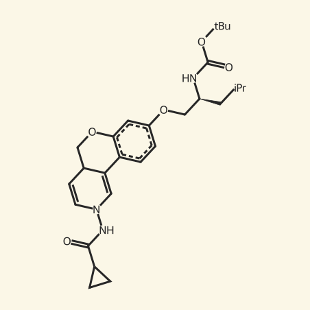 CC(C)C[C@@H](COc1ccc2c(c1)OCC1C=CN(NC(=O)C3CC3)C=C21)NC(=O)OC(C)(C)C